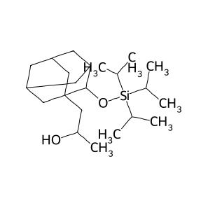 CC(O)CC12CC3CC(CC(C3)C1O[Si](C(C)C)(C(C)C)C(C)C)C2